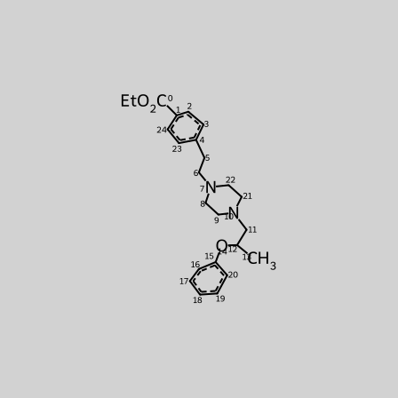 CCOC(=O)c1ccc(CCN2CCN(CC(C)Oc3ccccc3)CC2)cc1